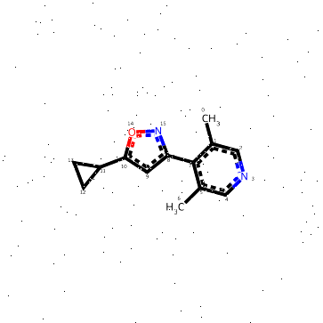 Cc1cncc(C)c1-c1cc(C2CC2)on1